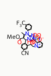 COC(=O)C1=C(C)N(c2cccc(C(F)(F)F)c2)c2n[nH]c(=O)n2C1c1ccc(C#N)cc1CC[n+]1ccccc1C(C)(O)S(=O)(=O)[O-]